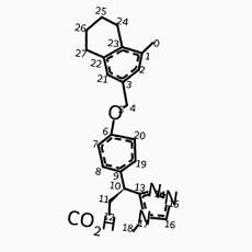 Cc1cc(COc2ccc([C@H](CC(=O)O)c3nncn3C)cc2)cc2c1CCCC2